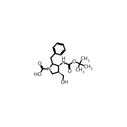 CC(C)(C)OC(=O)N[C@@H]1C(Cc2ccccc2)N(C(=O)O)C[C@@H]1CO